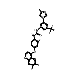 Cc1cn(-c2cc(NC(=O)C(=O)c3ccc(Oc4ccnc5cc(C)c(C)cc45)cc3F)cc(C(F)(F)F)c2)cn1